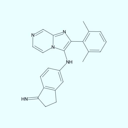 Cc1cccc(C)c1-c1nc2cnccn2c1Nc1ccc2c(c1)CCC2=N